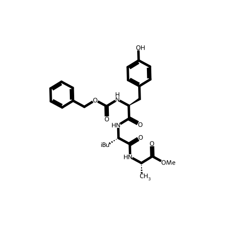 CCC(C)[C@H](NC(=O)[C@H](Cc1ccc(O)cc1)NC(=O)OCc1ccccc1)C(=O)N[C@@H](C)C(=O)OC